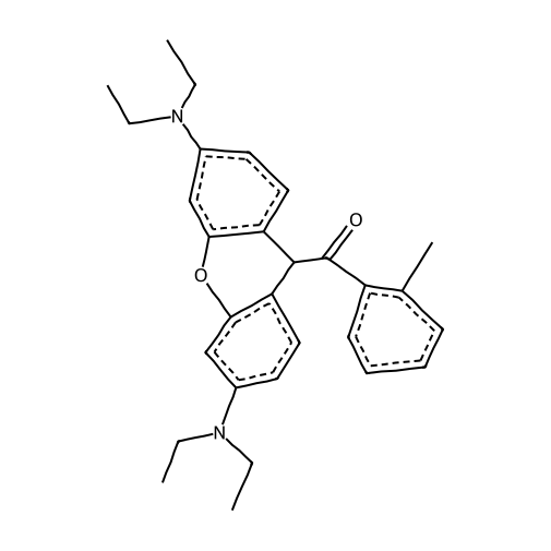 CCN(CC)c1ccc2c(c1)Oc1cc(N(CC)CC)ccc1C2C(=O)c1ccccc1C